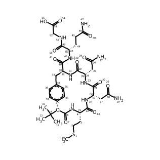 CSCC[C@H](NC(=O)OC(C)(C)C)C(=O)N[C@@H](CC(N)=O)C(=O)N[C@@H](CC(N)=O)C(=O)N[C@@H](Cc1ccccc1)C(=O)N[C@@H](CCC(N)=O)C(=O)NCC(=O)O